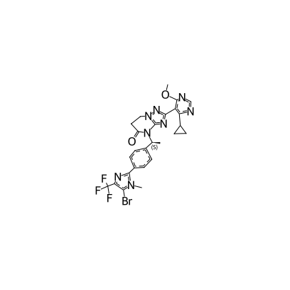 COc1ncnc(C2CC2)c1-c1nc2n(n1)CCC(=O)N2[C@@H](C)c1ccc(-c2nc(C(F)(F)F)c(Br)n2C)cc1